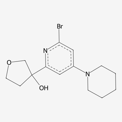 OC1(c2cc(N3CCCCC3)cc(Br)n2)CCOC1